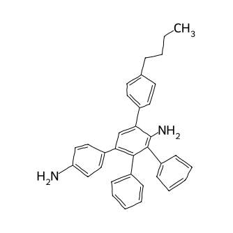 CCCCc1ccc(-c2cc(-c3ccc(N)cc3)c(-c3ccccc3)c(-c3ccccc3)c2N)cc1